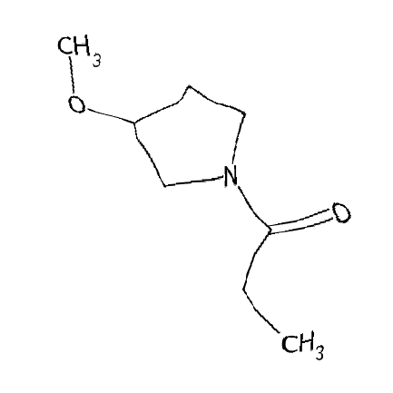 CCC(=O)N1CCC(OC)C1